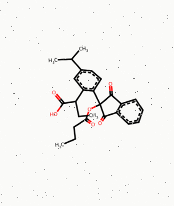 CCCC(=O)OC1(c2ccc(C(C)C)cc2C(CC)C(=O)O)C(=O)c2ccccc2C1=O